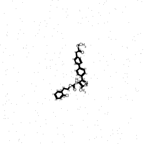 COC(=O)Cc1ccc(-c2ccc(-c3noc(C)c3NC(=O)OCCc3ccccc3Cl)cc2)cc1